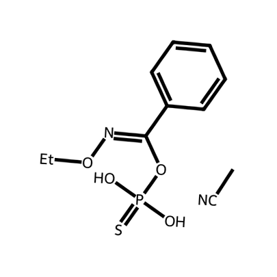 CC#N.CCON=C(OP(O)(O)=S)c1ccccc1